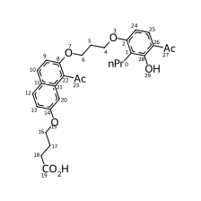 CCCc1c(OCCCOc2ccc3ccc(OCCCC(=O)O)cc3c2C(C)=O)ccc(C(C)=O)c1O